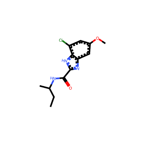 CCC(C)NC(=O)c1nc2cc(OC)cc(Cl)c2[nH]1